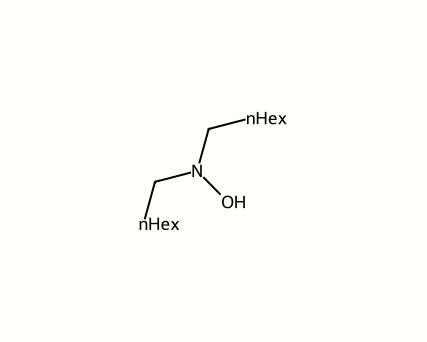 CCCCCCCN(O)CCCCCCC